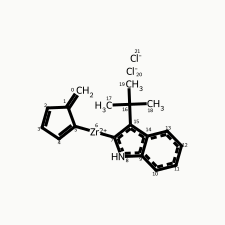 C=C1C=CC=[C]1[Zr+2][c]1[nH]c2ccccc2c1C(C)(C)C.[Cl-].[Cl-]